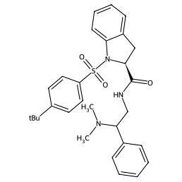 CN(C)C(CNC(=O)[C@@H]1Cc2ccccc2N1S(=O)(=O)c1ccc(C(C)(C)C)cc1)c1ccccc1